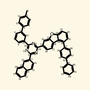 Cc1ccc(-c2cccc(-c3nc(-c4ccc5ccccc5c4)nc(-c4ccc5c(c4)oc4cccc(-c6ccc(-c7ccccc7)cc6)c45)n3)c2)cc1